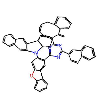 C=C1/C(c2nc(-c3ccc4ccccc4c3)nc(-c3cc4c(cc3N3c5cc6ccccc6cc5C5C=CCCC53)oc3ccccc34)n2)=C\C=C/Cc2ccccc21